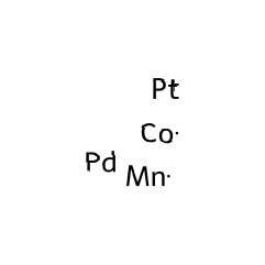 [Co].[Mn].[Pd].[Pt]